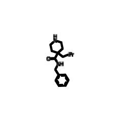 CC(C)CC1(C(=O)NCc2ccccc2)CCNCC1